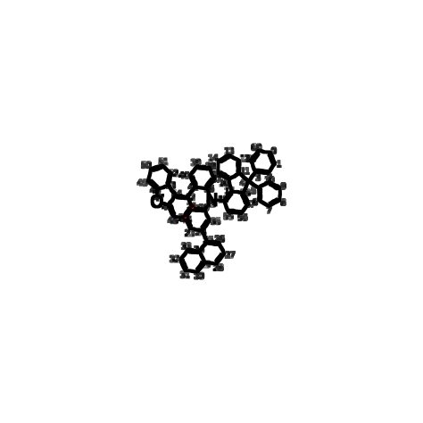 c1ccc(C2(c3ccccc3)c3ccccc3-c3c(N(c4cccc(-c5cccc6ccccc56)c4)c4ccccc4-c4cccc5oc6ccccc6c45)cccc32)cc1